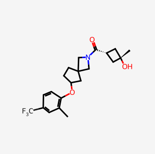 Cc1cc(C(F)(F)F)ccc1OC1CCC2(C1)CN(C(=O)[C@H]1C[C@@](C)(O)C1)C2